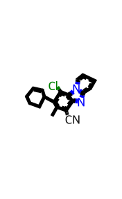 Cc1c(C2C=CCCC2)c(Cl)c2c(nc3ccccn32)c1C#N